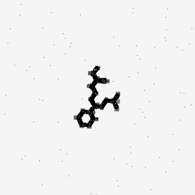 COC(=O)OCCN(CCN(C)C)C1CCCCC1